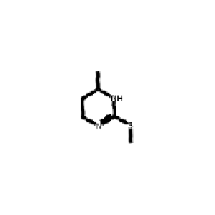 CSC1=NCCC(C)N1